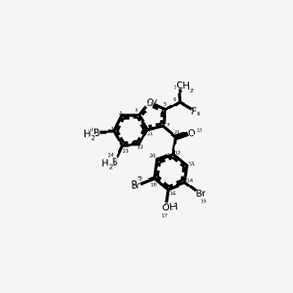 Bc1cc2oc(C(C)F)c(C(=O)c3cc(Br)c(O)c(Br)c3)c2cc1B